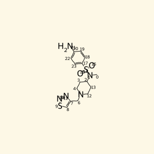 CN(C1CCN(Cc2csnn2)CC1)S(=O)(=O)c1ccc(N)cc1